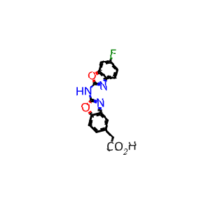 O=C(O)Cc1ccc2oc(Nc3nc4ccc(F)cc4o3)nc2c1